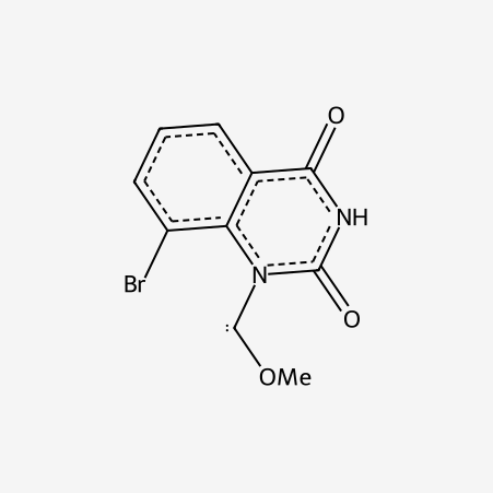 CO[C]n1c(=O)[nH]c(=O)c2cccc(Br)c21